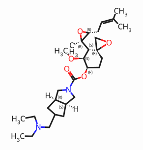 CCN(CC)CC1C[C@@H]2CN(C(=O)O[C@@H]3CC[C@]4(CO4)[C@@H]([C@@]4(C)O[C@@H]4CC=C(C)C)[C@@H]3OC)C[C@@H]2C1